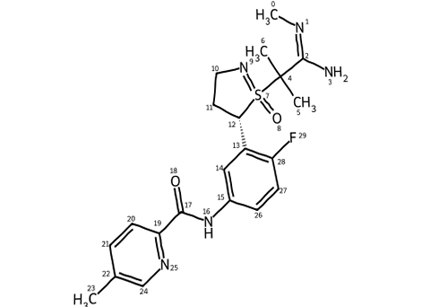 C/N=C(/N)C(C)(C)S1(=O)=NCC[C@H]1c1cc(NC(=O)c2ccc(C)cn2)ccc1F